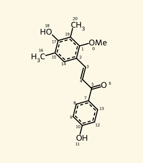 COc1c(C=CC(=O)c2ccc(O)cc2)cc(C)c(O)c1C